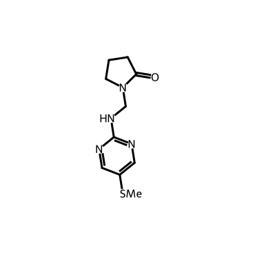 CSc1cnc(NCN2CCCC2=O)nc1